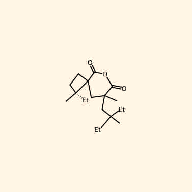 CCC(C)(CC)CC1(C)CC2(CC[C@@]2(C)CC)C(=O)OC1=O